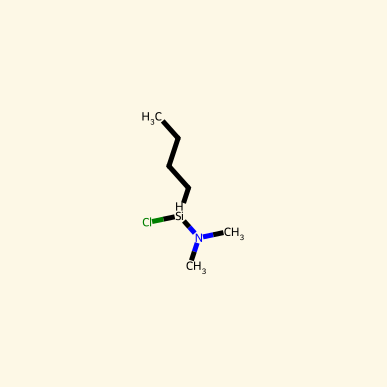 CCCC[SiH](Cl)N(C)C